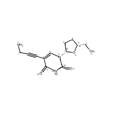 NCC#Cc1cn([C@@H]2CC[C@H](CO)O2)c(=O)[nH]c1=O